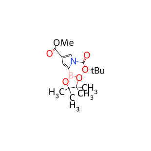 COC(=O)c1cc(B2OC(C)(C)C(C)(C)O2)n(C(=O)OC(C)(C)C)c1